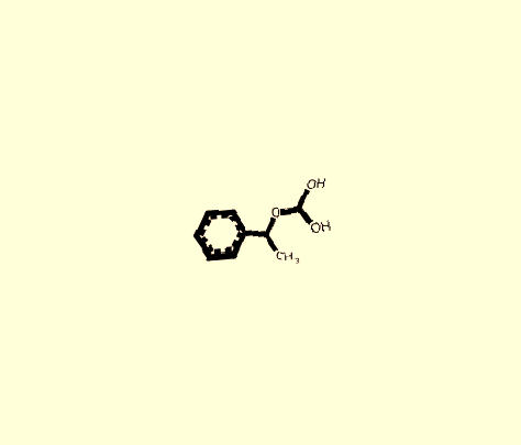 CC(OC(O)O)c1ccccc1